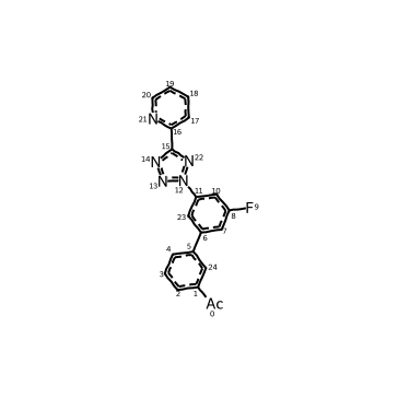 CC(=O)c1cccc(-c2cc(F)cc(-n3nnc(-c4ccccn4)n3)c2)c1